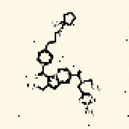 CCc1cc2cc(C(=O)N(CC)Cc3nnn(C)n3)ccn2c1C(=O)c1ccc(CCCNC2(C)CCCC2)cc1